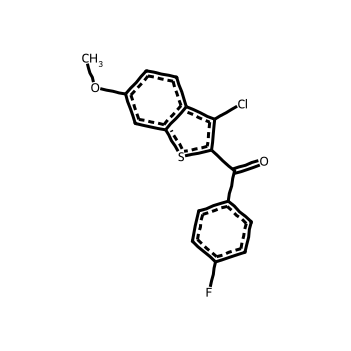 COc1ccc2c(Cl)c(C(=O)c3ccc(F)cc3)sc2c1